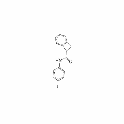 Cc1ccc(NC(=O)C2Cc3ccccc32)cc1